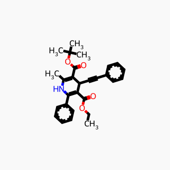 CCOC(=O)C1=C(c2ccccc2)NC(C)=C(C(=O)OC(C)(C)C)C1C#Cc1ccccc1